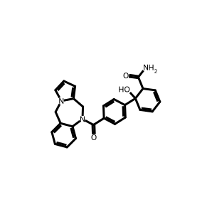 NC(=O)C1C=CC=CC1(O)c1ccc(C(=O)N2Cc3cccn3Cc3ccccc32)cc1